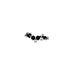 O=C1CC(C(=O)NCc2ccc(Nc3ccc(N4CCC(O)(C(F)(F)F)CC4)cc3)cc2)CN1